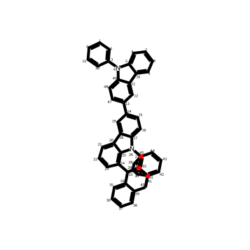 c1ccc(-n2c3ccccc3c3cc(-c4ccc5c(c4)c4cccc6c4n5-c4cccc5c4C64c6ccccc6C5c5ccccc54)ccc32)cc1